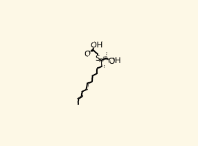 CCCCCCCCCC[C][C@@H](SCC(=O)O)[C@H](C)O